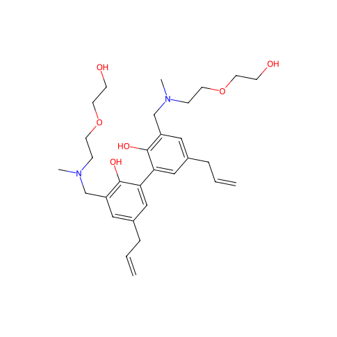 C=CCc1cc(CN(C)CCOCCO)c(O)c(-c2cc(CC=C)cc(CN(C)CCOCCO)c2O)c1